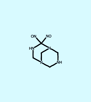 O=NC1(N=O)NCN2CNCN1C2